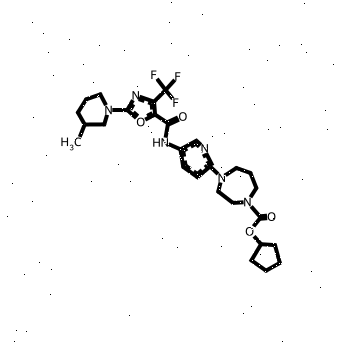 CC1CCCN(c2nc(C(F)(F)F)c(C(=O)Nc3ccc(N4CCCN(C(=O)OC5CCCC5)CC4)nc3)o2)C1